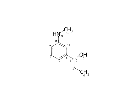 CC[C@@H](O)c1cccc(NC)c1